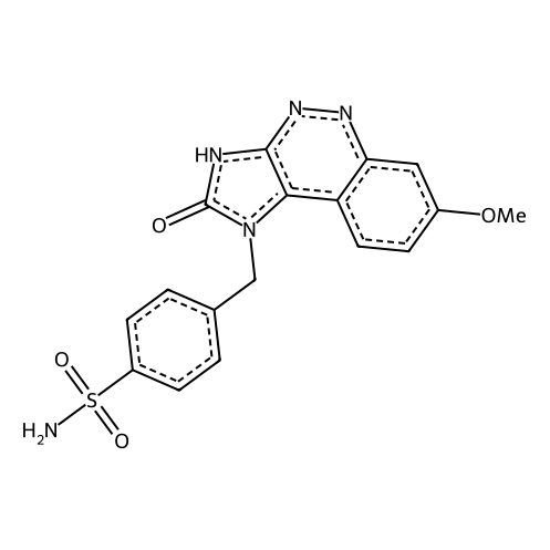 COc1ccc2c(c1)nnc1[nH]c(=O)n(Cc3ccc(S(N)(=O)=O)cc3)c12